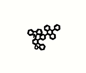 c1ccc(-c2c3ccccc3c(-c3ccc(-c4c(-n5c6ccccc6c6ccccc65)ccc5oc6ccccc6c45)cc3)c3ccccc23)cc1